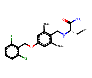 COc1cc(OCc2c(F)cccc2Cl)cc(OC)c1CN[C@@H](CC(C)C)C(N)=O